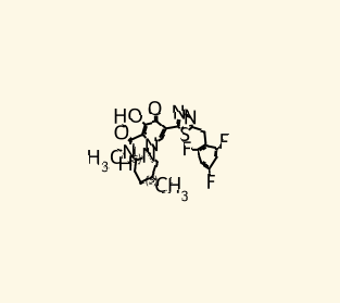 C[C@H]1CC[C@H]2N(C)C(=O)c3c(O)c(=O)c(-c4nnc(Cc5c(F)cc(F)cc5F)s4)cn3N2C1